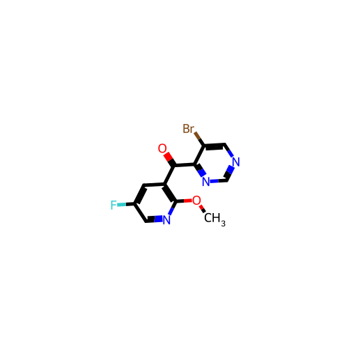 COc1ncc(F)cc1C(=O)c1ncncc1Br